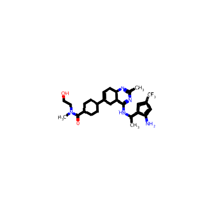 CC1=NC2CC=C(C3CCC(C(=O)N(C)CCO)CC3)CC2C(NC(C)C2C=C(C(F)(F)F)C=C2N)=N1